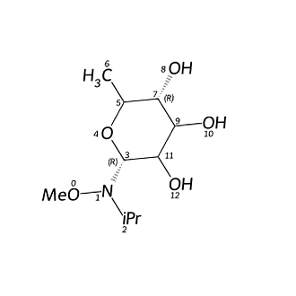 CON(C(C)C)[C@@H]1OC(C)[C@H](O)C(O)C1O